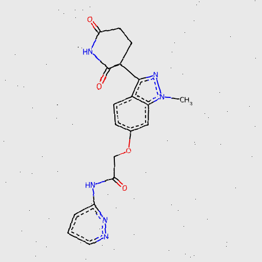 Cn1nc(C2CCC(=O)NC2=O)c2ccc(OCC(=O)Nc3cccnn3)cc21